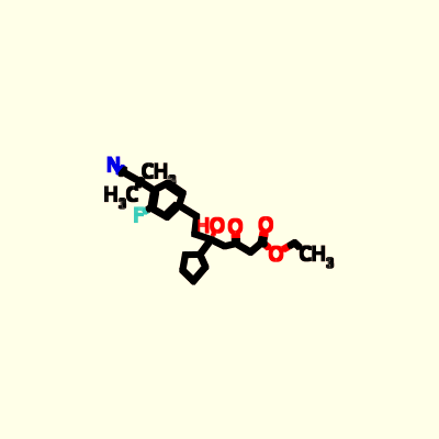 CCOC(=O)CC(=O)C[C@](O)(CCc1ccc(C(C)(C)C#N)c(F)c1)C1CCCC1